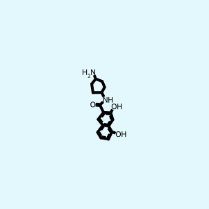 NC1CCC(NC(=O)c2cc3cccc(O)c3cc2O)CC1